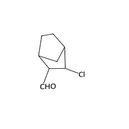 O=CC1C2CCC(C2)C1Cl